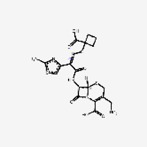 NCC1=C(C(=O)O)N2C(=O)C(NC(=O)/C(=N\OC3(C(=O)O)CCC3)c3csc(N)n3)[C@@H]2SC1